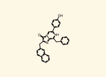 O=c1c(Cc2ccc3ccccc3c2)nc2c(Cc3ccccc3)[nH]c(-c3ccc(O)cc3)cn1-2